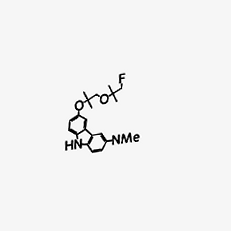 CNc1ccc2[nH]c3ccc(OC(C)(C)COC(C)(C)CF)cc3c2c1